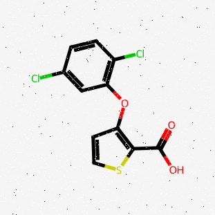 O=C(O)c1sccc1Oc1cc(Cl)ccc1Cl